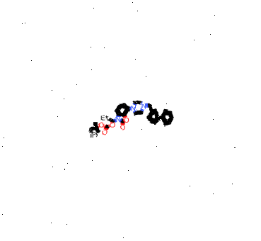 CCC(OC(=O)OC(C)(C)CC(C)C)n1c(=O)oc2c(N3CCN(Cc4cccc(-c5ccccc5)c4)CC3)cccc21